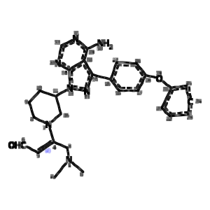 CN(C)C/C(=C/C=O)N1CCCC(n2nc(-c3ccc(Oc4ccccc4)cc3)c3c(N)ncnc32)C1